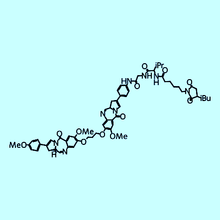 CCC(C)C1CC(=O)N(CCCCCC(=O)NC(C(=O)NCC(=O)Nc2ccc(C3=CN4C(=O)c5cc(OC)c(OCCCOc6cc7c(cc6OC)C(=O)N6C=C(c8ccc(OC)cc8)C[C@H]6C=N7)cc5N=CC4C3)cc2)C(C)C)C1=O